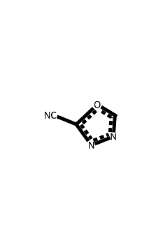 N#Cc1nn[c]o1